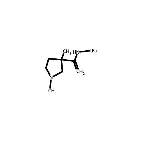 C=C(NC(C)(C)C)C1(C)CCN(C)C1